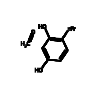 C=O.CCCc1ccc(O)cc1O